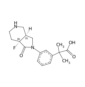 CC(C)(C(=O)O)c1cccc(N2C[C@@H]3CNCC[C@]3(F)C2=O)c1